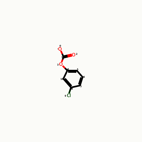 [O]C(=O)Oc1cccc(Cl)c1